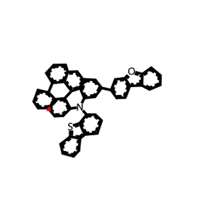 c1ccc(-c2cccc3cccc(-c4ccccc4N(c4cccc(-c5ccc6c(c5)oc5ccccc56)c4)c4cccc5c4sc4ccccc45)c23)cc1